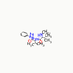 CN[C@H](C(=O)N[C@H](C(=O)Nc1ccccc1)C(C)C)C(C)C